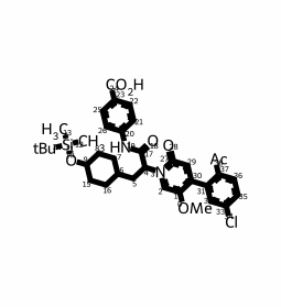 COc1cn(C(CC2CCC(O[Si](C)(C)C(C)(C)C)CC2)C(=O)Nc2ccc(C(=O)O)cc2)c(=O)cc1-c1cc(Cl)ccc1C(C)=O